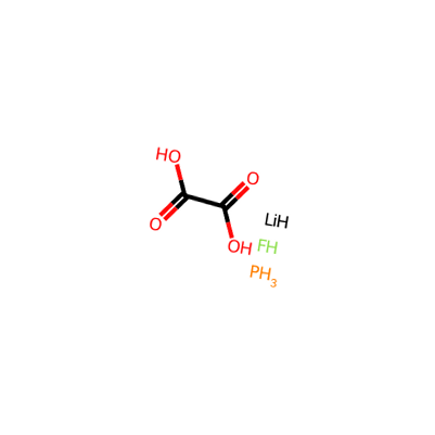 F.O=C(O)C(=O)O.P.[LiH]